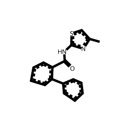 Cc1csc(NC(=O)c2ccccc2-c2ccccc2)n1